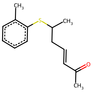 CC(=O)C=CCC(C)Sc1ccccc1C